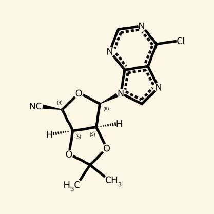 CC1(C)O[C@@H]2[C@H](O1)[C@H](n1cnc3c(Cl)ncnc31)O[C@@H]2C#N